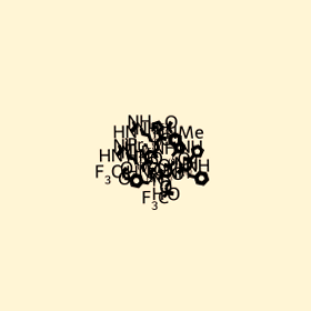 CNC(=O)[C@@H]1CCCN1C(=O)[C@H](CCCNC(=N)N)NC(=O)[C@H](CC(C)C)NC(=O)[C@@H](CCCNC(=N)N)NC(=O)[C@H](Cc1ccc(OC(=O)C(F)(F)F)cc1)NC(=O)[C@H](COC(=O)C(F)(F)F)NC(=O)[C@H](Cc1c[nH]c2ccccc12)NC(=O)[C@H](Cc1ccccc1)NC(=O)C1CCCC1